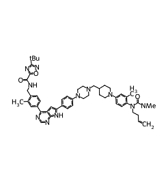 C=CCCN(C(=O)NC)c1ccc(N2CCC(CN3CCN(c4ccc(-c5cc6c(-c7ccc(CNC(=O)c8nc(C(C)(C)C)no8)c(C)c7)ncnc6[nH]5)cc4)CC3)CC2)cc1C